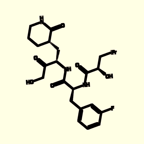 CC(C)C[C@@H](O)C(=O)N[C@@H](Cc1cccc(F)c1)C(=O)N[C@@H](C[C@@H]1CCCNC1=O)C(=O)CO